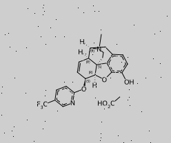 CC(=O)O.CN1CC[C@]23c4c5ccc(O)c4O[C@H]2[C@@H](Oc2ccc(C(F)(F)F)cn2)C=C[C@H]3[C@H]1C5